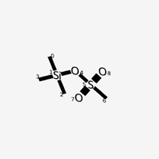 C[Si](C)(C)OS(C)(=O)=O